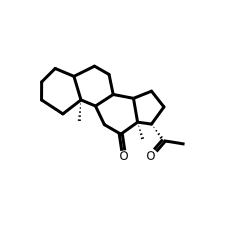 CC(=O)[C@H]1CCC2C3CCC4CCCC[C@]4(C)C3CC(=O)[C@@]21C